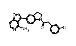 Nc1nccc2occ(-c3ccc4c(c3)CCN4C(=O)Cc3cccc(Cl)c3)c12